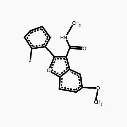 CNC(=O)c1c(-c2ccccc2F)oc2ccc(OC)cc12